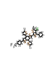 CC(=O)c1sc2c(-c3cc4c(-c5ccc(C)s5)c5sc(-c6ccc(C(F)(F)F)cc6)cc5c(-c5ccc(C)s5)c4s3)sc(-c3ccccc3)c2c1F